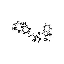 Cc1[nH]c2ccccc2c1CN(C)C(=O)/C=C/c1cnc2c(c1)CNC(=O)CN2